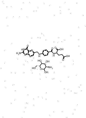 N[C@H]1C(O)O[C@H](CO)[C@@H](O)[C@@H]1O.Nc1nc2ncc(CNc3ccc(C(=O)NC(CCC(=O)O)C(=O)O)cc3)nc2c(=O)[nH]1